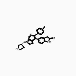 Cc1ccc(-c2ncc3c(ccn3C[C@@H]3CCNC3)c2-c2ccc3c(c2)CC(=O)N3)cc1